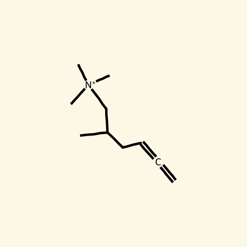 C=C=CCC(C)C[N+](C)(C)C